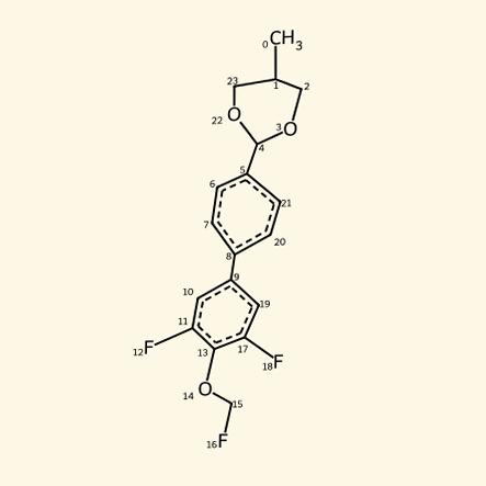 CC1COC(c2ccc(-c3cc(F)c(OCF)c(F)c3)cc2)OC1